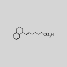 O=C(O)CCCCC=CC1CCCc2ccccc21